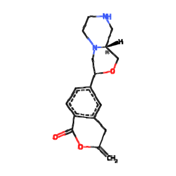 C=C1Cc2cc(C3CN4CCNC[C@@H]4CO3)ccc2C(=O)O1